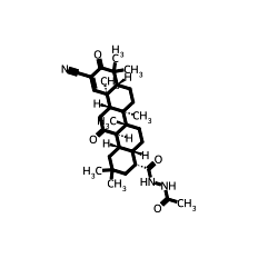 CC(=O)NNC(=O)[C@@H]1CC(C)(C)C[C@H]2[C@@H]1CC[C@]1(C)[C@@H]2C(=O)C[C@@H]2[C@@]3(C)C=C(C#N)C(=O)C(C)(C)[C@@H]3CC[C@]21C